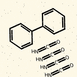 N=C=O.N=C=O.N=C=O.N=C=O.c1ccc(-c2ccccc2)cc1